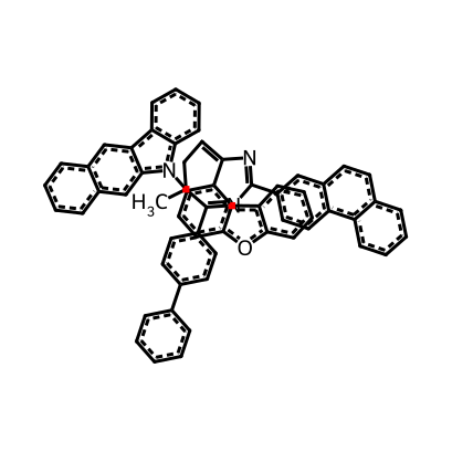 CC1C/C=C(c2c(-n3c4ccccc4c4cc5ccccc5cc43)ccc3oc4ccccc4c23)/N=C(c2ccc3c(ccc4ccccc43)c2)\N=C/1c1ccc(-c2ccccc2)cc1